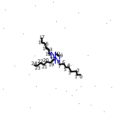 CCCCCCCCN1C=CN(CCCCCC)C1CCCCCC